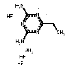 B.CCc1nc(N)nc(N)n1.F.F.F